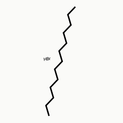 Br.CCCCCCCCCCCCC